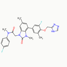 Cc1cc(-c2cc(C)c(OCc3nnc[nH]3)c(F)c2)c2c(c1)n(CC(=O)N(C)c1ccc(F)cc1)c(=O)n2C